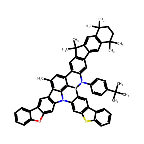 Cc1cc2c3c4c1c1cc5c(cc1n4-c1cc4sc6ccccc6c4cc1B3N(c1ccc(C(C)(C)C)cc1)c1cc3c(cc1-2)C(C)(C)c1cc2c(cc1-3)C(C)(C)CCC2(C)C)oc1ccccc15